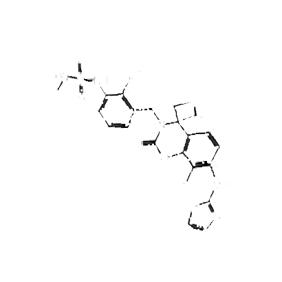 CNS(=O)(=O)Nc1cccc(CN2C(=O)Oc3c(ccc(Oc4ncco4)c3F)C23COC3)c1F